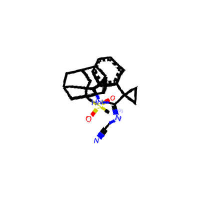 CS(=O)(=O)C12CC3CC(C1)C(N/C(=N\C#N)C1(c4ccccc4)CC1)C(C3)C2